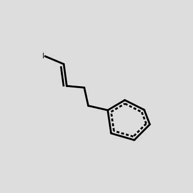 I/C=C/CCc1ccccc1